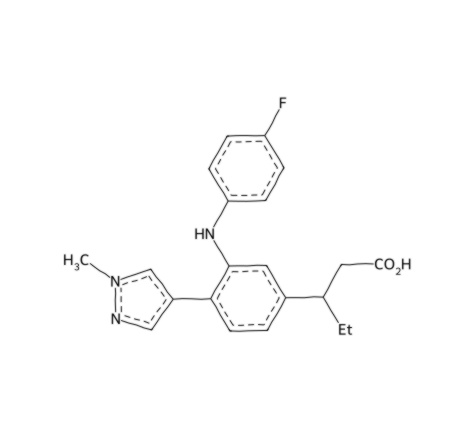 CCC(CC(=O)O)c1ccc(-c2cnn(C)c2)c(Nc2ccc(F)cc2)c1